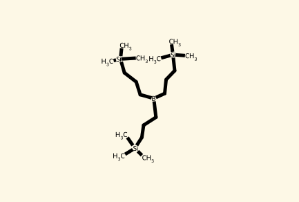 C[Si](C)(C)CCCB(CCC[Si](C)(C)C)CCC[Si](C)(C)C